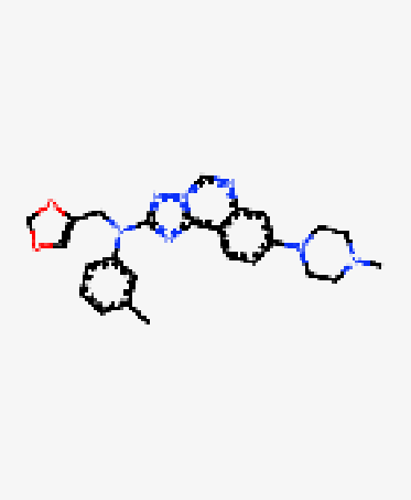 Cc1cccc(N(CC2=COCO2)c2nc3c4ccc(N5CCN(C)CC5)cc4ncn3n2)c1